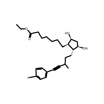 CCOC(=O)CCCCCC[C@@H]1[C@@H](CCC(C)C#Cc2ccc(F)cc2)[C@H](O)C[C@@H]1O